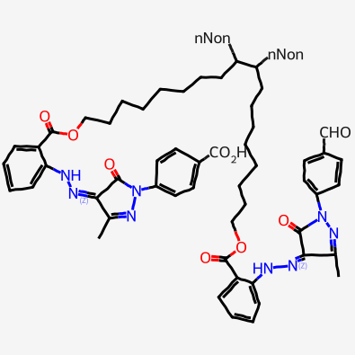 CCCCCCCCCC(CCCCCCCCOC(=O)c1ccccc1N/N=C1\C(=O)N(c2ccc(C=O)cc2)N=C1C)C(CCCCCCCCC)CCCCCCCCOC(=O)c1ccccc1N/N=C1\C(=O)N(c2ccc(C(=O)O)cc2)N=C1C